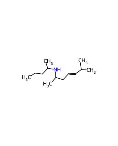 CCCC(C)NC(C)C/C=C/C(C)C